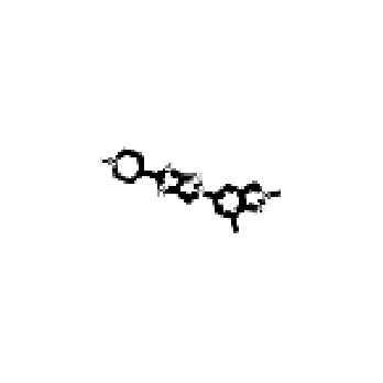 Cc1cc(-n2cc3nc(C4CCNCC4)sc3n2)cc2cn(C)nc12